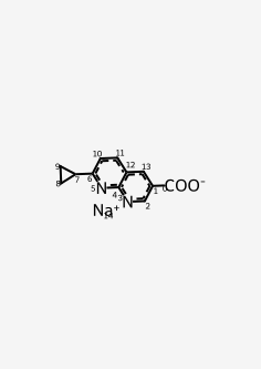 O=C([O-])c1cnc2nc(C3CC3)ccc2c1.[Na+]